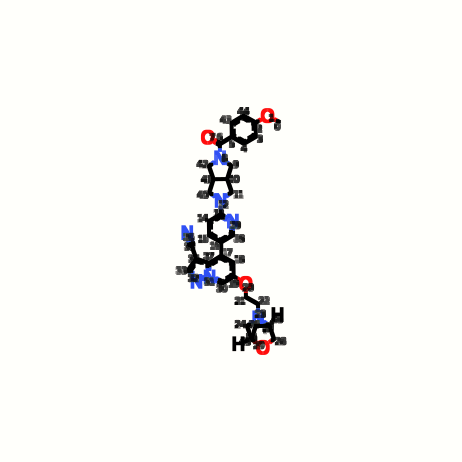 COc1ccc(C(=O)N2CC3CN(c4ccc(-c5cc(OCCN6C[C@@H]7C[C@H]6CO7)cn6ncc(C#N)c56)cn4)CC3C2)cc1